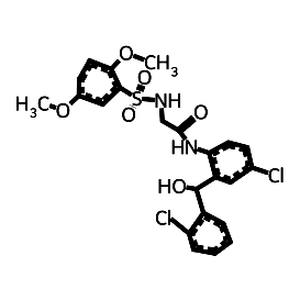 COc1ccc(OC)c(S(=O)(=O)NCC(=O)Nc2ccc(Cl)cc2C(O)c2ccccc2Cl)c1